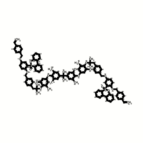 C=Cc1ccc(COc2ccc(OCc3ccc(CC(C)(C)Oc4c(C)cc(Oc5c(C)cc(C(C)(C)c6cc(C)c(Oc7cc(C)c(OC(C)(C)Cc8ccc(COc9ccc(OCc%10ccc(C=C)cc%10)c(P%10(=O)Oc%11ccccc%11-c%11ccccc%11%10)c9)cc8)c(C)c7)c(C)c6)cc5C)cc4C)cc3)c(P3(=O)Oc4ccccc4-c4ccccc43)c2)cc1